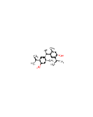 C=C(C)c1cc(C(CCC)c2cc(C(=C)C)c(O)cc2C)c(C)cc1O